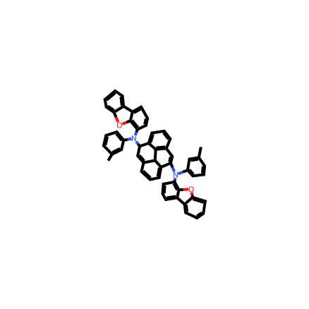 Cc1cccc(N(C2=Cc3cccc4c3C3C(=CC4N(c4cccc(C)c4)c4cccc5c4oc4ccccc45)C=CC=C23)c2cccc3c2oc2ccccc23)c1